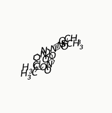 CC(C)COC(=O)N1CCC(Oc2c(N3CCN(S(=O)(=O)C(C)C)CC3)cnn(-c3cccc(Cl)c3)c2=O)C1